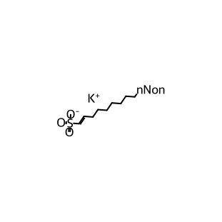 CCCCCCCCCCCCCCCCC=CS(=O)(=O)[O-].[K+]